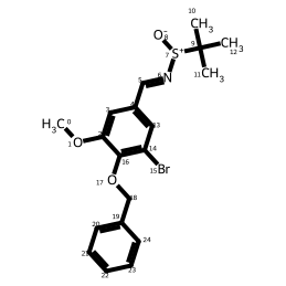 COc1cc(C=N[S+]([O-])C(C)(C)C)cc(Br)c1OCc1ccccc1